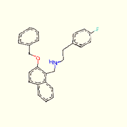 Fc1ccc(CCNCc2c(OCc3ccccc3)ccc3ccccc23)cc1